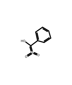 O=S(=O)=C(O)c1ccccc1